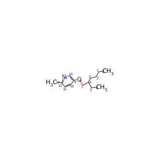 CCCCC(CC)COc1ccc(C)nc1